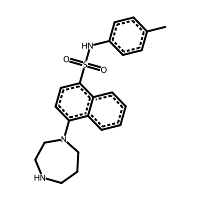 Cc1ccc(NS(=O)(=O)c2ccc(N3CCCNCC3)c3ccccc23)cc1